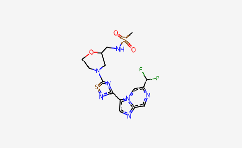 CS(=O)(=O)NCC1CN(c2nc(-c3cnc4cnc(C(F)F)cn34)ns2)CCO1